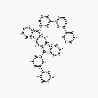 c1ccc(-c2cccc(-c3cccc(-n4c5ccccc5c5cc6c(cc54)c4ccccc4n6-c4cccc(-c5ccccc5)c4)c3)c2)cc1